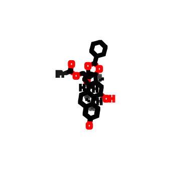 CC(C)C(=O)OCC(=O)[C@@]12OC(C3CCCCC3)OC1C[C@H]1[C@@H]3CCC4=CC(=O)C=C[C@]4(C)[C@H]3C(O)C[C@@]12C